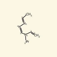 C=CN(/C=N\N=C\C)C(C)C